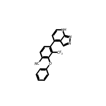 N#Cc1ccc(-c2cc[nH]c3nncc2-3)c(C(F)(F)F)c1Oc1ccccc1